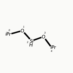 CC(C)O[SiH]OC(C)C